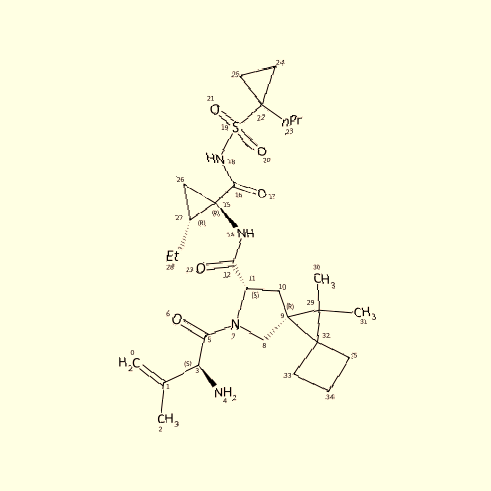 C=C(C)[C@H](N)C(=O)N1C[C@]2(C[C@H]1C(=O)N[C@]1(C(=O)NS(=O)(=O)C3(CCC)CC3)C[C@H]1CC)C(C)(C)C21CCC1